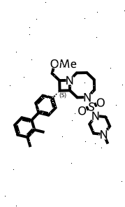 COCC1[C@@H](c2ccc(-c3cccc(C)c3C)cc2)C2CN(S(=O)(=O)N3CCN(C)CC3)CCCCN12